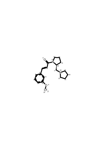 O=C(/C=C/c1cccc(OC(F)(F)F)c1)N1CCC[C@H]1CN1CCCC1